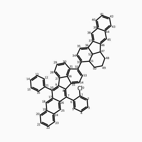 Clc1ccccc1-c1c2c(c(-c3ccccc3)c3cc4ccccc4cc13)-c1cccc3c(C4=CC=C5c6cc7ccccc7cc6C6CCCC4C56)ccc-2c13